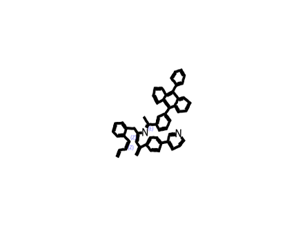 C=C/C=C\c1ccccc1CC(=C/C(=C)c1ccc(-c2cccnc2)cc1)/N=C(\C)c1cccc(-c2c3ccccc3c(-c3ccccc3)c3ccccc23)c1